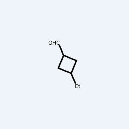 CCC1CC(C=O)C1